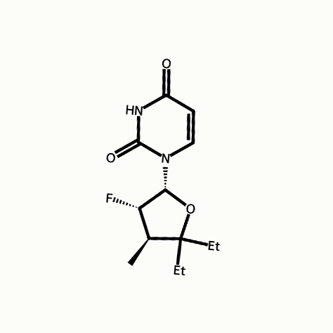 CCC1(CC)O[C@@H](n2ccc(=O)[nH]c2=O)[C@@H](F)[C@@H]1C